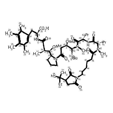 CC[C@H](C)[C@@H]([C@@H](CC(=O)N1CCC[C@H]1[C@H](OC)[C@@H](C)C(=O)N[C@@H](CC1=CC(C)C(C)=C(C)C1C)C(=O)O)OC)N(C)C(=O)[C@@H](NC(=O)[C@H](C(C)C)N(C)C(=O)CCCCCN1C(=O)CC(C(C)(S)CC)C1=O)C(C)C